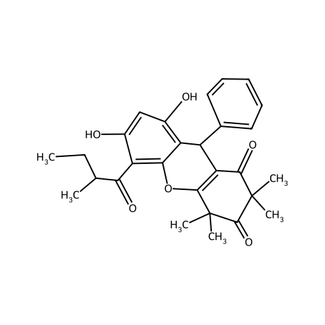 CCC(C)C(=O)c1c(O)cc(O)c2c1OC1=C(C(=O)C(C)(C)C(=O)C1(C)C)C2c1ccccc1